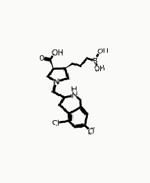 O=C(O)[C@@H]1CN(CC2Cc3c(Cl)cc(Cl)cc3CN2)C[C@@H]1CCCB(O)O